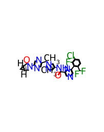 Cc1nc(N2C[C@H]3C[C@H]3C2=O)cnc1C(C)n1cc(NC(=O)c2cncc(-c3c(C(F)F)ccc(Cl)c3F)n2)cn1